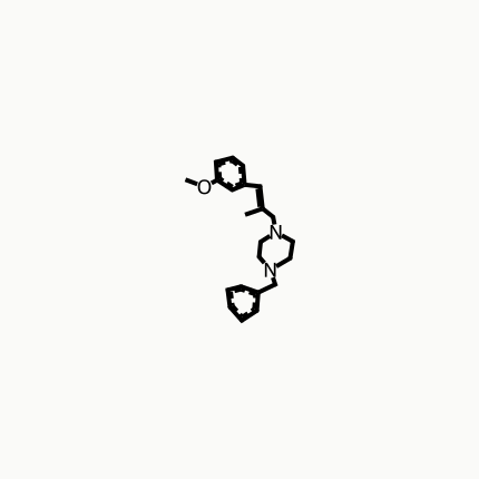 COc1cccc(/C=C(\C)CN2CCN(Cc3ccccc3)CC2)c1